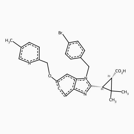 Cc1ccc(COc2ccc3nc([C@@H]4[C@H](C(=O)O)C4(C)C)n(Cc4ccc(Br)cc4)c3c2)nc1